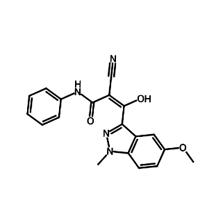 COc1ccc2c(c1)c(C(O)=C(C#N)C(=O)Nc1ccccc1)nn2C